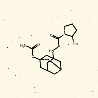 N#CC1CCCN1C(=O)CNC12CC3CC(C1)CC(OC(N)=O)(C3)C2